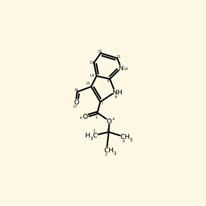 CC(C)(C)OC(=O)c1[nH]c2ncccc2c1C=O